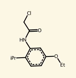 CCOc1ccc(C(C)C)c(NC(=O)CCl)c1